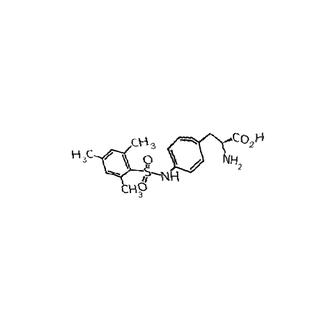 Cc1cc(C)c(S(=O)(=O)Nc2ccc(C[C@H](N)C(=O)O)cc2)c(C)c1